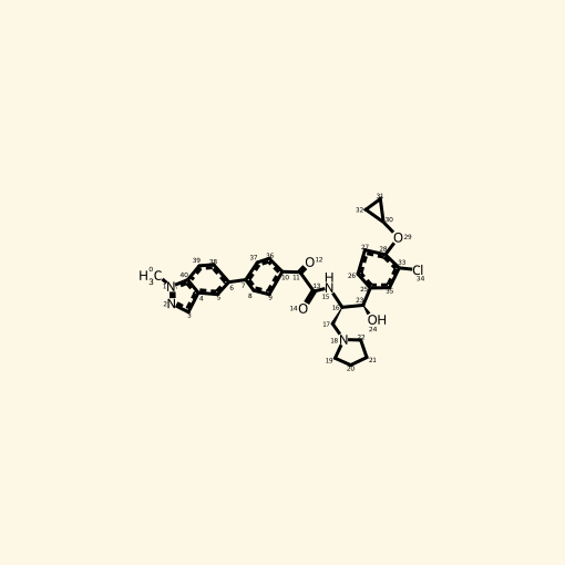 Cn1ncc2cc(-c3ccc(C(=O)C(=O)N[C@H](CN4CCCC4)[C@H](O)c4ccc(OC5CC5)c(Cl)c4)cc3)ccc21